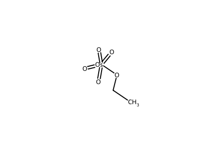 CC[O][Os](=[O])(=[O])(=[O])=[O]